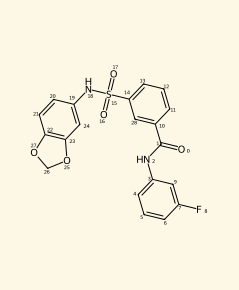 O=C(Nc1cccc(F)c1)c1cccc(S(=O)(=O)Nc2ccc3c(c2)OCO3)c1